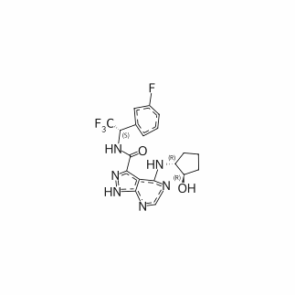 O=C(N[C@@H](c1cccc(F)c1)C(F)(F)F)c1n[nH]c2ncnc(N[C@@H]3CCC[C@H]3O)c12